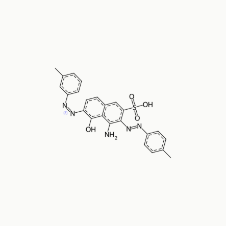 Cc1ccc(N=Nc2c(S(=O)(=O)O)cc3ccc(/N=N\c4cccc(C)c4)c(O)c3c2N)cc1